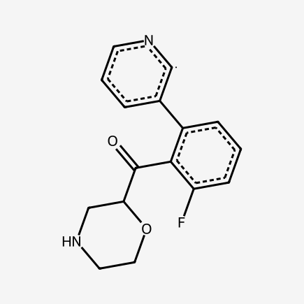 O=C(c1c(F)cccc1-c1[c]nccc1)C1CNCCO1